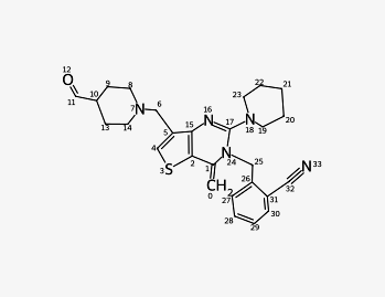 C=C1c2scc(CN3CCC(C=O)CC3)c2N=C(N2CCCCC2)N1Cc1ccccc1C#N